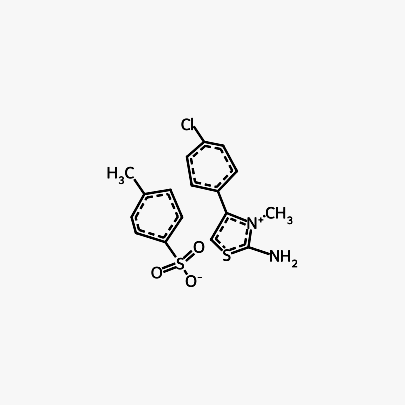 C[n+]1c(-c2ccc(Cl)cc2)csc1N.Cc1ccc(S(=O)(=O)[O-])cc1